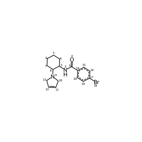 O=C(NC1CCCCC1N1CC=CC1)c1ccc(Br)cc1